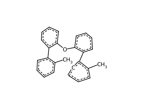 Cc1ccccc1-c1ccccc1Oc1ccccc1-c1ccccc1C